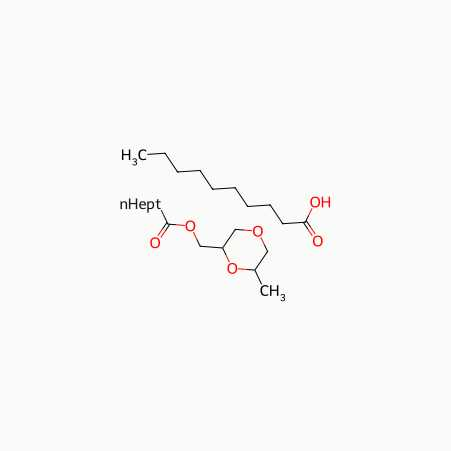 CCCCCCCC(=O)OCC1COCC(C)O1.CCCCCCCCCC(=O)O